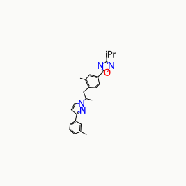 Cc1cccc(-c2ccn(C(C)Cc3ccc(-c4nc(C(C)C)no4)cc3C)n2)c1